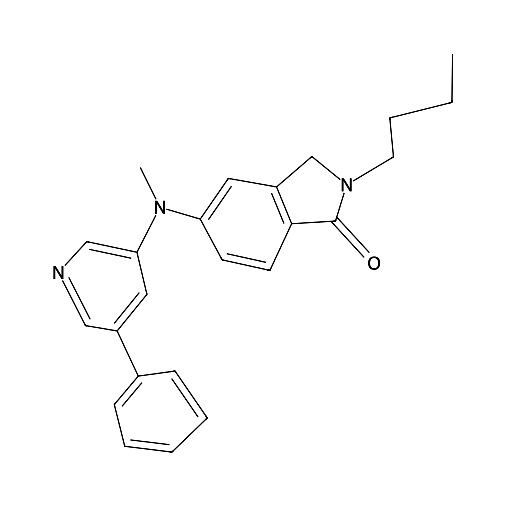 CCCCN1Cc2cc(N(C)c3cncc(-c4ccccc4)c3)ccc2C1=O